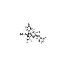 CCc1cccc(CNC[C@H](O)[C@H](Cc2cc(F)cc(F)c2)NC(=O)c2c(NC(C)=O)sc(C)c2C)c1